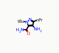 CCCc1nn(C(C)(C)C)c(C(N)=O)c1N